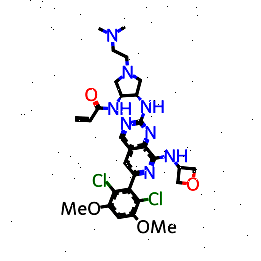 C=CC(=O)N[C@H]1CN(CCN(C)C)C[C@H]1Nc1ncc2cc(-c3c(Cl)c(OC)cc(OC)c3Cl)nc(NC3COC3)c2n1